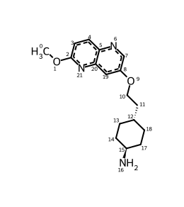 COc1ccc2ncc(OCC[C@H]3CC[C@H](N)CC3)cc2n1